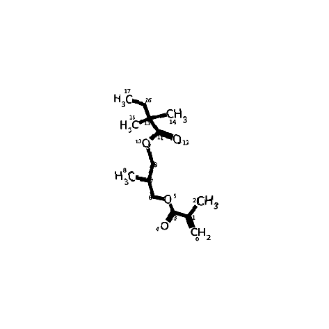 C=C(C)C(=O)OCC(C)COC(=O)C(C)(C)CC